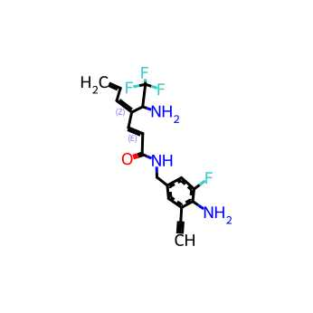 C#Cc1cc(CNC(=O)/C=C/C(=C/C=C)C(N)C(F)(F)F)cc(F)c1N